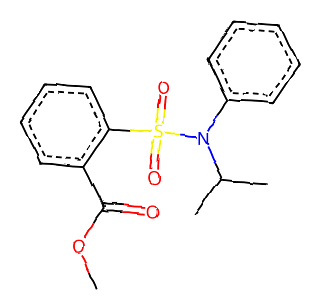 COC(=O)c1ccccc1S(=O)(=O)N(c1ccccc1)C(C)C